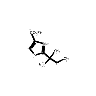 CCOC(=O)c1csc(C(C)(C)CO)n1